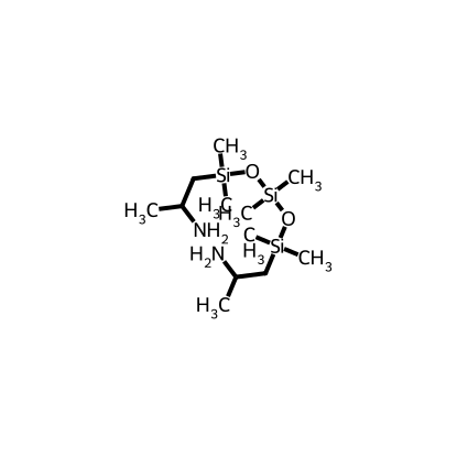 CC(N)C[Si](C)(C)O[Si](C)(C)O[Si](C)(C)CC(C)N